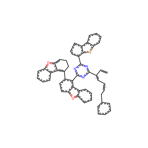 C=C/C(=C\C=C/Cc1ccccc1)c1nc(-c2cccc3c2sc2ccccc23)nc(-c2c(C3=c4c(oc5ccccc45)=CCC3)ccc3oc4ccccc4c23)n1